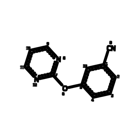 N#Cc1cccc(Oc2ncccn2)c1